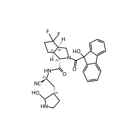 N#C[C@H](C[C@@H]1CCNC1O)NC(=O)[C@@H]1[C@H]2CCC(F)(F)[C@H]2CN1C(=O)C1(O)c2ccccc2-c2ccccc21